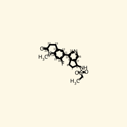 CCS(=O)(=O)NC1CCc2c(-c3cc4c(cc3F)N(C)C(=O)CC4)cncc21